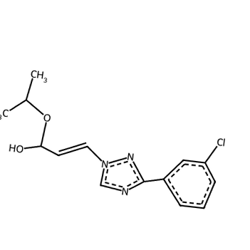 CC(C)OC(O)/C=C/n1cnc(-c2cccc(Cl)c2)n1